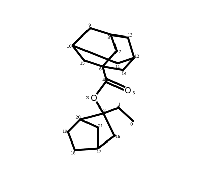 CCC1(OC(=O)C23CC4CC(CC(C4)C2)C3)CC2CCC1C2